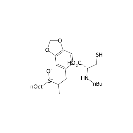 CCCCCCCC[S+]([O-])C(C)Cc1ccc2c(c1)OCO2.CCCCN[C@@H](CS)C(=O)O